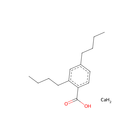 CCCCc1ccc(C(=O)O)c(CCCC)c1.[CaH2]